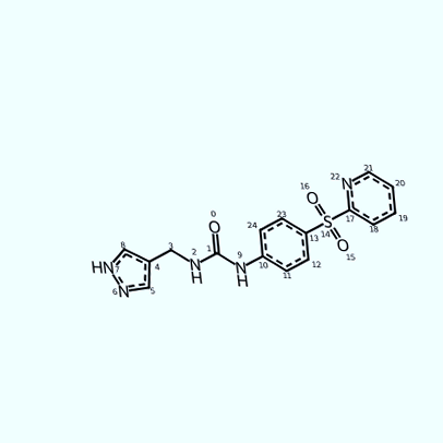 O=C(NCc1cn[nH]c1)Nc1ccc(S(=O)(=O)c2ccccn2)cc1